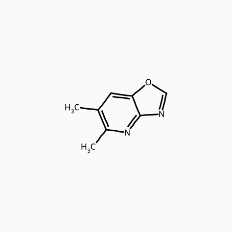 Cc1cc2ocnc2nc1C